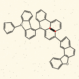 c1ccc(-c2ccccc2N(c2ccc(-c3ccc4ccc5oc6ccccc6c5c4c3)cc2)c2cccc3c2c2ccccc2n3-c2ccccc2)cc1